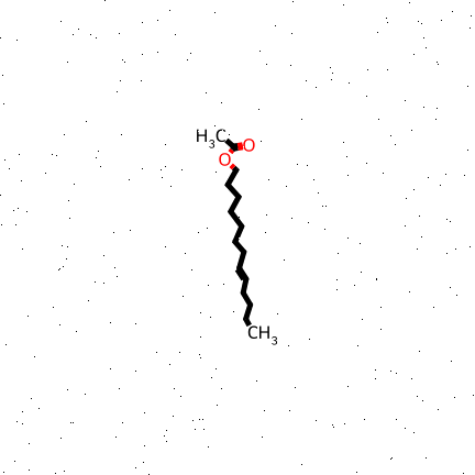 CCCCC=CCCCCCCCOC(C)=O